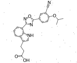 CC(C)Oc1ccc(-c2nc(-c3cccc4c(CCC(=O)O)c[nH]c34)no2)cc1C#N